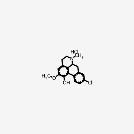 COc1cc2c3c(c1O)-c1ccc(Cl)cc1CC3N(C)CC2.Cl